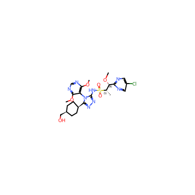 COc1ncnc(OC)c1-n1c(NS(=O)(=O)[C@@H](C)[C@H](OC)c2ncc(Cl)cn2)nnc1[C@H]1CC[C@@H](CO)CC1